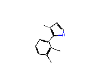 CC1=C(c2cccc(C)c2C)[N]C=C1